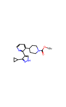 CC(C)(C)OC(=O)N1CCC(c2cccnc2-c2c[nH]nc2C2CC2)CC1